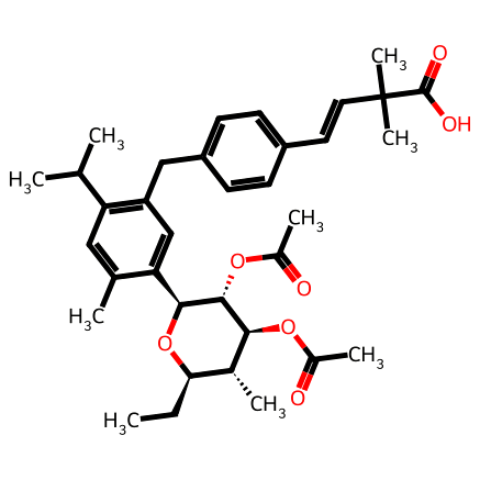 CC[C@H]1O[C@@H](c2cc(Cc3ccc(/C=C/C(C)(C)C(=O)O)cc3)c(C(C)C)cc2C)[C@H](OC(C)=O)[C@@H](OC(C)=O)[C@@H]1C